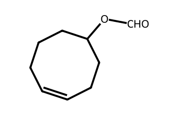 O=COC1CCC=CCCC1